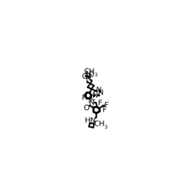 Cn1cnnc1C1(c2cccc(N3Cc4c(cc(CNC5(C)CCC5)cc4C(F)(F)F)C3=O)c2)CC2(CN(S(C)(=O)=O)C2)C1